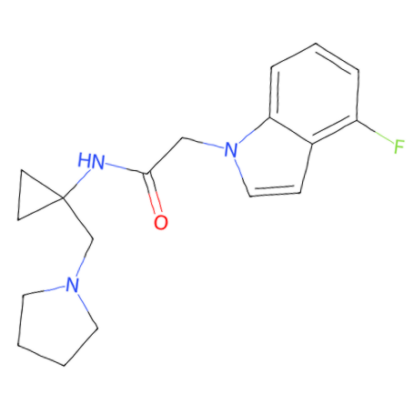 O=C(Cn1ccc2c(F)cccc21)NC1(CN2CCCC2)CC1